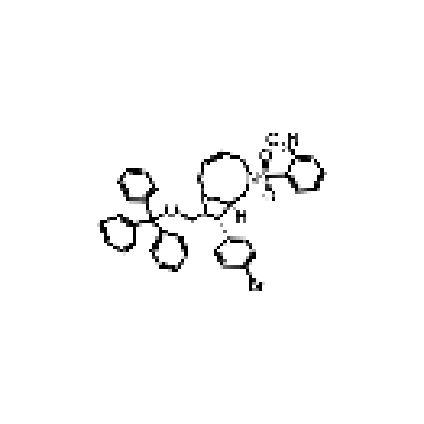 O=[N+]([O-])c1ccccc1S(=O)(=O)N1C/C=C\CN2[C@H](COC(c3ccccc3)(c3ccccc3)c3ccccc3)[C@@H](c3ccc(Br)cc3)[C@@H]2C1